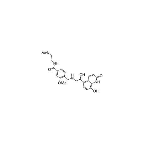 CNCCNC(=O)c1ccc(CNCC(O)c2ccc(O)c3[nH]c(=O)ccc23)c(OC)c1